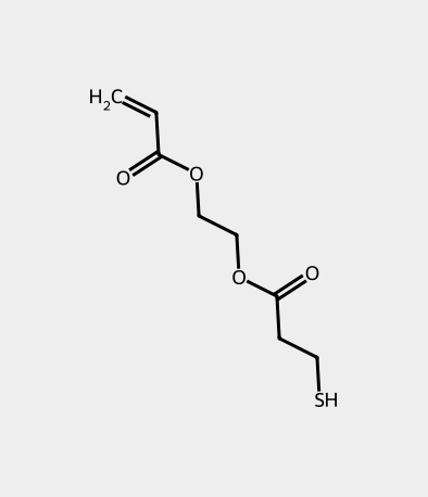 C=CC(=O)OCCOC(=O)CCS